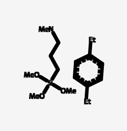 CCc1ccc(CC)cc1.CNCCC[Si](OC)(OC)OC